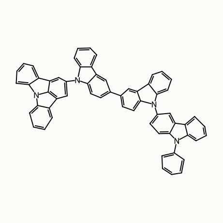 c1ccc(-n2c3ccccc3c3cc(-n4c5ccccc5c5cc(-c6ccc7c(c6)c6ccccc6n7-c6cc7c8ccccc8n8c9ccccc9c(c6)c78)ccc54)ccc32)cc1